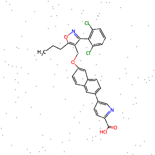 CCCc1onc(-c2c(Cl)cccc2Cl)c1COc1ccc2cc(-c3ccc(C(=O)O)nc3)ccc2c1